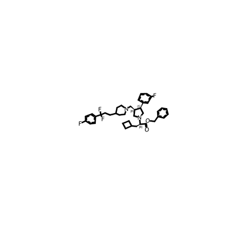 O=C(OCc1ccccc1)[C@@H](CC1CCC1)N1C[C@@H](CN2CCC(CCC(F)(F)c3ccc(F)cc3)CC2)[C@@H](c2cccc(F)c2)C1